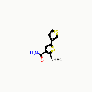 CC(=O)Nc1sc(-c2ccsc2)cc1C(N)=O